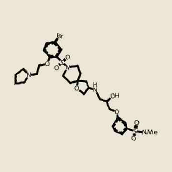 CNS(=O)(=O)c1cccc(OCC(O)CNC2COC3(CCN(S(=O)(=O)c4cc(Br)ccc4OCCN4CCCC4)CC3)C2)c1